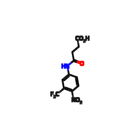 O=C(O)CCC(=O)Nc1ccc([N+](=O)[O-])c(C(F)(F)F)c1